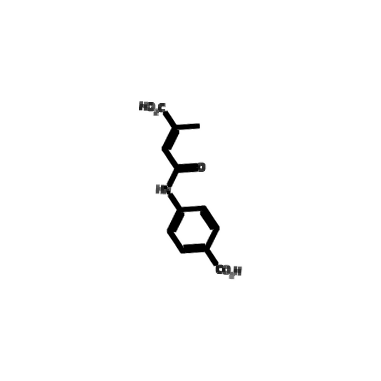 CC(=CC(=O)Nc1ccc(C(=O)O)cc1)C(=O)O